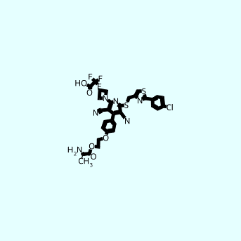 C[C@H](N)C(=O)OCCOc1ccc(-c2c(C#N)c(SCc3csc(-c4ccc(Cl)cc4)n3)nc(N3CCC3)c2C#N)cc1.O=C(O)C(F)(F)F